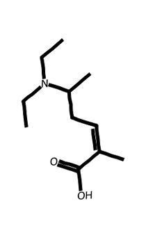 CCN(CC)C(C)CC=C(C)C(=O)O